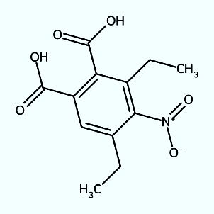 CCc1cc(C(=O)O)c(C(=O)O)c(CC)c1[N+](=O)[O-]